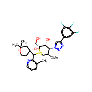 CO[C@H]1C[SH]([C@@H](c2ncccc2C)[C@@]2(O)CCOC(C)(C)C2)[C@H](CO)[C@H](O)[C@@H]1n1cc(-c2cc(F)c(F)c(F)c2)nn1